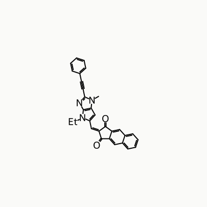 CCn1c(C=C2C(=O)c3cc4ccccc4cc3C2=O)cc2c1nc(C#Cc1ccccc1)n2C